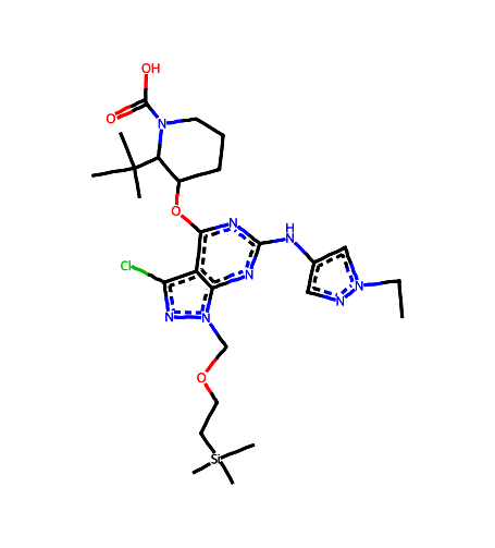 CCn1cc(Nc2nc(OC3CCCN(C(=O)O)C3C(C)(C)C)c3c(Cl)nn(COCC[Si](C)(C)C)c3n2)cn1